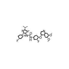 COc1cc2nccc(Oc3ccc(NC(=O)Nc4c(-c5ccc(F)cc5)nc(C(C)C)n4C)cc3F)c2cc1OC